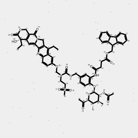 CCc1c2c(nc3ccc(OCN(CCS(C)(=O)=O)C(=O)OCc4ccc(O[C@@H]5O[C@H](C(C)=O)[C@@H](C)[C@H](C)[C@H]5OC(C)=O)c(NC(=O)CCC(=O)OCC5c6ccccc6-c6ccccc65)c4)cc13)-c1cc3c(c(=O)n1C2)COC(=O)[C@]3(O)CC